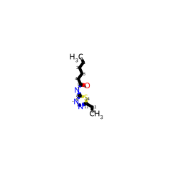 CCCCCC(=O)N=C1[N]N=C(CC)S1